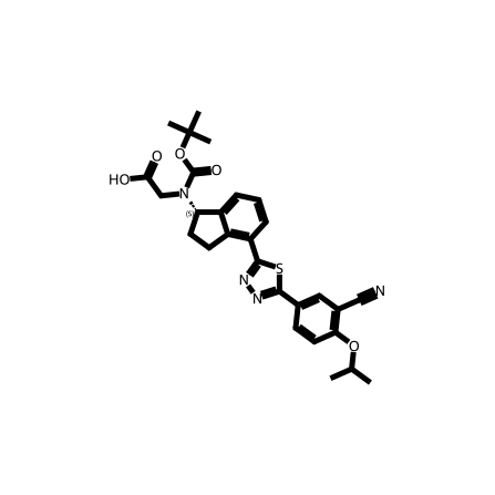 CC(C)Oc1ccc(-c2nnc(-c3cccc4c3CC[C@@H]4N(CC(=O)O)C(=O)OC(C)(C)C)s2)cc1C#N